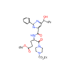 CCCC(O)c1cc(C(=O)NC(CCC(=O)OC(C)(C)C)C(=O)N2CCN(C(=O)OCC)CC2)nc(-c2ccccc2)n1